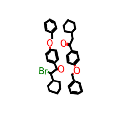 O=C(CC1CCCCC1)c1ccc(OCc2ccccc2)cc1.O=C(c1ccc(OCc2ccccc2)cc1)C(Br)C1CCCCC1